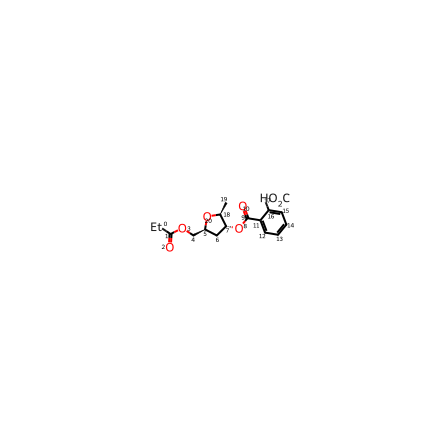 CCC(=O)OC[C@@H]1C[C@@H](OC(=O)c2ccccc2C(=O)O)[C@H](C)O1